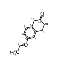 CCOc1ccc2c(c1)CCC(=O)C2